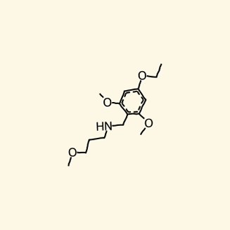 CCOc1cc(OC)c(CNCCCOC)c(OC)c1